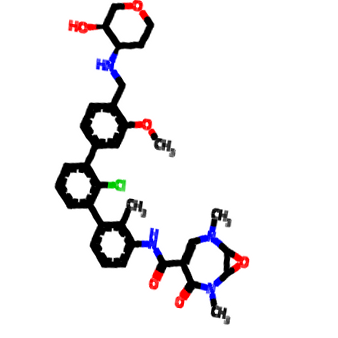 COc1cc(-c2cccc(-c3cccc(NC(=O)C4=CN(C)C5OC5N(C)C4=O)c3C)c2Cl)ccc1CN[C@@H]1CCOC[C@@H]1O